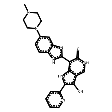 CN1CCN(c2ccc3[nH]c(-c4c(=O)[nH]cc5c(C#N)c(-c6ccccn6)[nH]c45)nc3c2)CC1